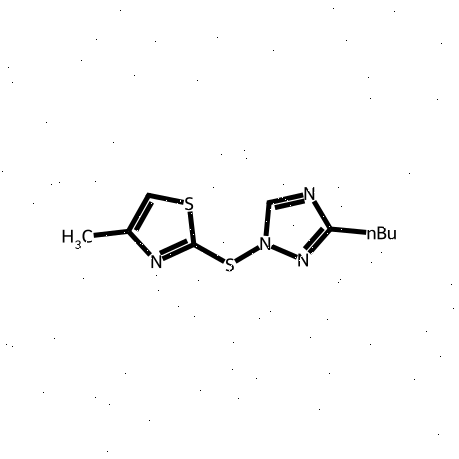 CCCCc1ncn(Sc2nc(C)cs2)n1